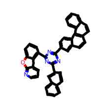 c1ccc2cc(-c3nc(-c4ccc5c(ccc6ccc7ccccc7c65)c4)nc(-c4cccc5oc6ncccc6c45)n3)ccc2c1